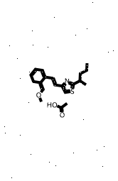 CC(=O)O.CCCC(C)c1nc(C=CC2=CC=CCC2=COC)cs1